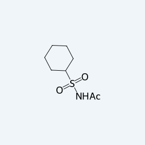 CC(=O)NS(=O)(=O)C1CCCCC1